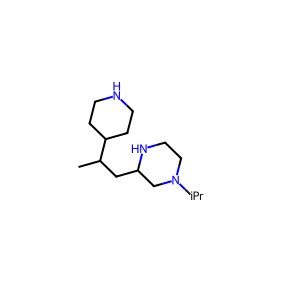 CC(CC1CN(C(C)C)CCN1)C1CCNCC1